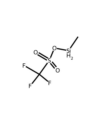 C[SiH2]OS(=O)(=O)C(F)(F)F